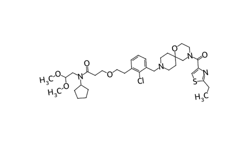 CCc1nc(C(=O)N2CCOC3(CCN(Cc4cccc(CCOCCC(=O)N(CC(OC)OC)C5CCCC5)c4Cl)CC3)C2)cs1